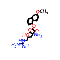 COc1ccc2c(OCC(=O)[C@](N)(CCCNC(=N)N)C(=O)O)cccc2c1